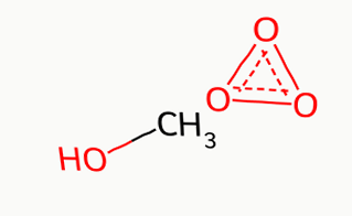 CO.o1oo1